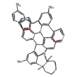 Cc1cc2c3c(c1)N1c4c(cc(C(C)(C)C)cc4C4(C)CCCCC14C)B3c1ccc3c(sc4cc(C(C)(C)C)ccc43)c1N2c1c(-c2ccccc2)cc(C(C)(C)C)cc1-c1ccccc1